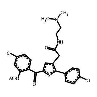 COc1cc(Cl)ccc1C(=O)c1cc(CC(=O)NCCN(C)C)c(-c2ccc(Cl)cc2)s1